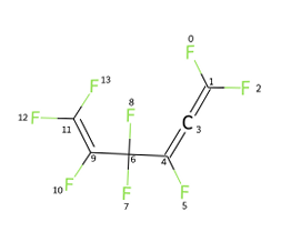 FC(F)=C=C(F)C(F)(F)C(F)=C(F)F